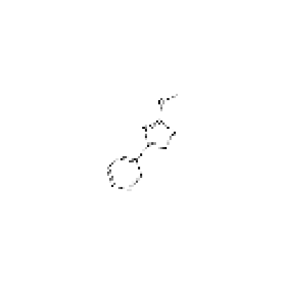 COc1nc(-c2ccccc2)cs1